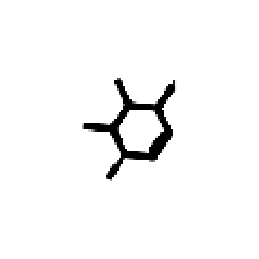 CC1C(I)C=C[C@@H](C)C1C